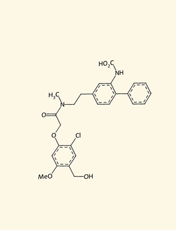 COc1cc(OCC(=O)N(C)CCc2ccc(-c3ccccc3)c(NC(=O)O)c2)c(Cl)cc1CO